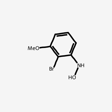 COc1cccc(NO)c1Br